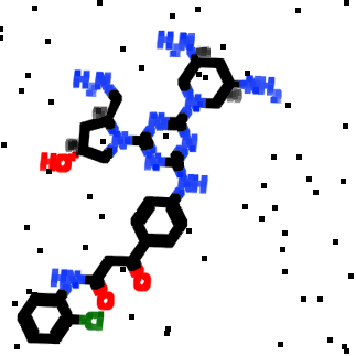 NC[C@@H]1C[C@@H](O)CN1c1nc(Nc2ccc(C(=O)CC(=O)Nc3ccccc3Cl)cc2)nc(N2C[C@H](N)C[C@H](N)C2)n1